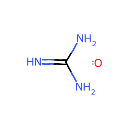 N=C(N)N.[O]